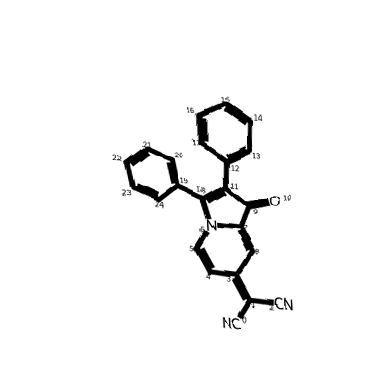 N#CC(C#N)=C1C=CN2C(=C1)C(=O)C(c1ccccc1)=C2c1ccccc1